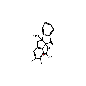 CC(=O)C(=O)NC12C(=O)c3ccccc3C1(O)Cc1cc(C)c(C)cc12